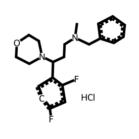 CN(CCC(c1ccc(F)cc1F)N1CCOCC1)Cc1ccccc1.Cl